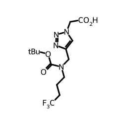 CC(C)(C)OC(=O)N(CCCC(F)(F)F)Cc1cn(CC(=O)O)nn1